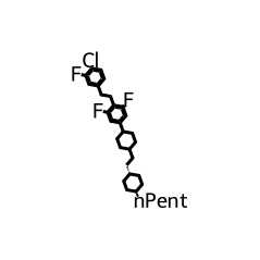 CCCCC[C@H]1CC[C@H](CCC2CCC(c3cc(F)c(CCc4ccc(Cl)c(F)c4)c(F)c3)CC2)CC1